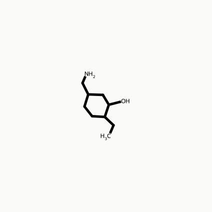 CCC1CCC(CN)CC1O